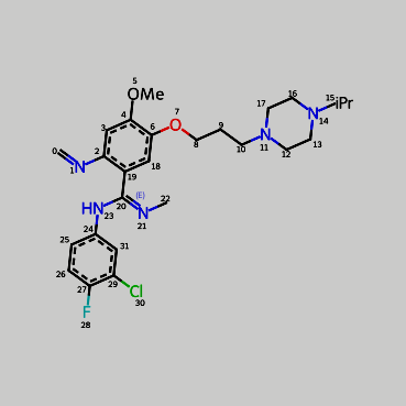 C=Nc1cc(OC)c(OCCCN2CCN(C(C)C)CC2)cc1/C(=N\C)Nc1ccc(F)c(Cl)c1